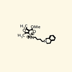 COC(=O)c1c(C)oc(C)c1S(=O)(=O)NCCCCN1CCc2ccccc2C1